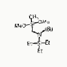 CCCCN(C[Si](C)(OC)OC)[Si](CC)(CC)CC